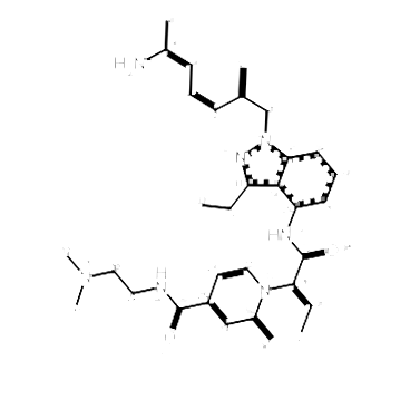 C=C(/C=C\C=C(\C)N)Cn1nc(CC)c2c(NC(=O)/C(=C/C)N3C=CC(C(=O)NCCN(C)C)=CC3=C)cccc21